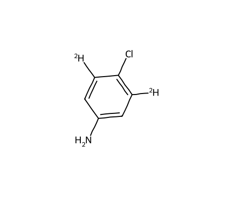 [2H]c1cc(N)cc([2H])c1Cl